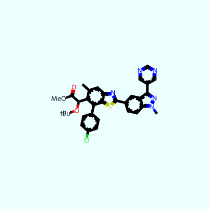 COC(=O)C(OC(C)(C)C)c1c(C)cc2nc(-c3ccc4c(c3)c(-c3cncnc3)nn4C)sc2c1-c1ccc(Cl)cc1